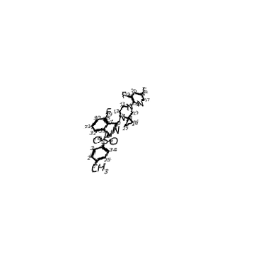 Cc1ccc(S(=O)(=O)n2nc(N3CCN(c4ncc(F)cc4F)CC34CC4)c3c(F)cccc32)cc1